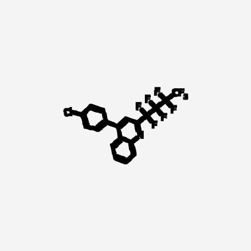 FC(F)(F)C(F)(F)C(F)(F)C(F)(F)c1cc(-c2ccc(Cl)cc2)c2ccccc2n1